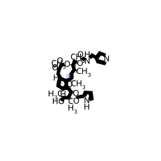 CO[C@H]1C[C@H]2C=C[C@@H]3C[C@]2(O[C@H]3[C@H](OC(=O)c2ccc[nH]2)[C@H](C)[C@H](C)O)/C(C)=C/[C@@H](C)[C@@H]([C@@H](C)OC(=O)NCc2ccncc2)OC1=O